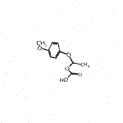 COc1ccc(OC(C)OC(=O)O)cc1